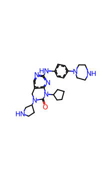 O=C1N(C2CCCC2)c2nc(Nc3ccc(N4CCNCC4)cc3)ncc2CN1[C@H]1CCNC1